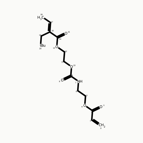 C=CC(=O)OCCNC(=O)OCCOC(=O)/C(=C/C)CC(C)(C)C